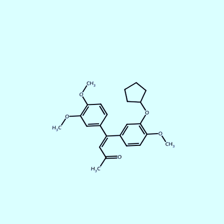 COc1ccc(C(=CC(C)=O)c2ccc(OC)c(OC3CCCC3)c2)cc1OC